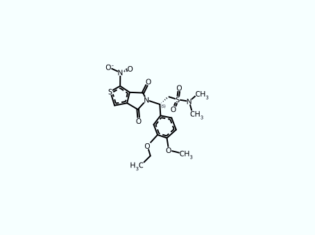 CCOc1cc([C@@H](CS(=O)(=O)N(C)C)N2C(=O)c3csc([N+](=O)[O-])c3C2=O)ccc1OC